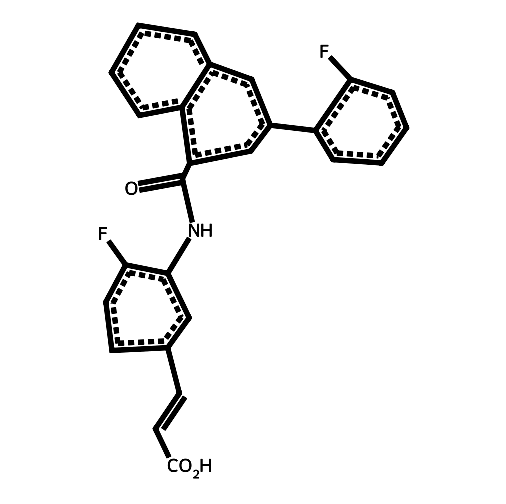 O=C(O)/C=C/c1ccc(F)c(NC(=O)c2cc(-c3ccccc3F)cc3ccccc23)c1